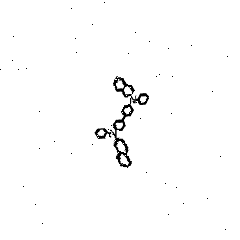 C1=C(c2ccc(N(c3ccccc3)c3ccc4ccccc4c3)cc2)CCC(N(c2ccccc2)c2ccc3ccccc3c2)=C1